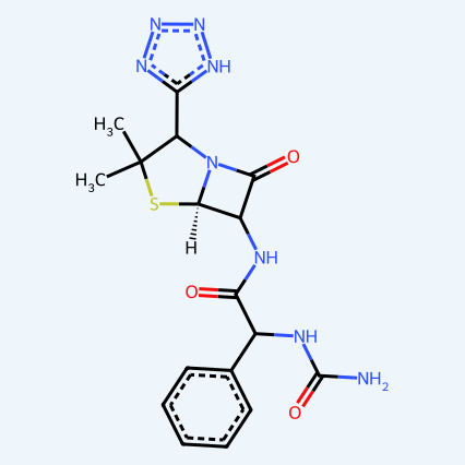 CC1(C)S[C@@H]2C(NC(=O)C(NC(N)=O)c3ccccc3)C(=O)N2C1c1nnn[nH]1